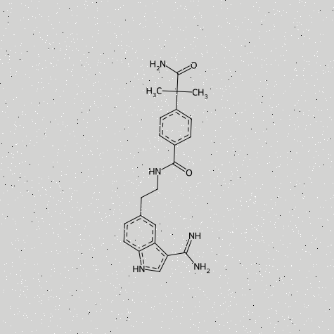 CC(C)(C(N)=O)c1ccc(C(=O)NCCc2ccc3[nH]cc(C(=N)N)c3c2)cc1